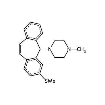 CSc1ccc2c(c1)C(N1CCN(C)CC1)c1ccccc1C=C2